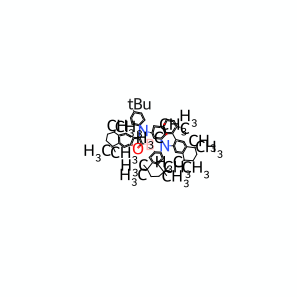 Cc1cc2c3c(c1)N(c1ccc(C(C)(C)C)cc1)c1c(oc4cc5c(cc14)C(C)(C)CCC5(C)C)B3c1cc3c(cc1N2c1cc2c(cc1-c1c(C)cccc1C)C(C)(C)CCC2(C)C)C(C)(C)CCC3(C)C